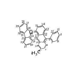 Cc1ccc2c(-c3ccccc3)c3ccccc3c(-c3cccc4c3oc3ccccc34)c2c1